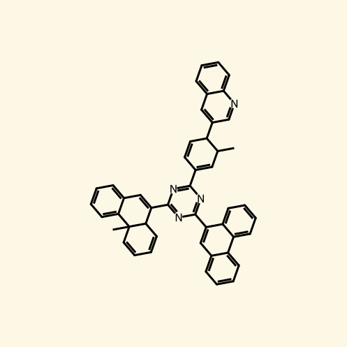 CC1C=C(c2nc(C3=Cc4ccccc4C4(C)C=CC=CC34)nc(-c3cc4ccccc4c4ccccc34)n2)C=CC1c1cnc2ccccc2c1